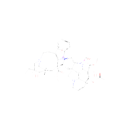 CC[C@]1(O)C[C@@H]2CN(CCc3c([nH]c4ccccc34)[C@@](C(=O)OC)(C3C=C4C(=CC3OC)N(C=O)C3[C@]45CCN4CC=C[C@](CC)(C45)[C@@H](OC(C)=O)[C@]3(O)C(=O)OC)C2)C1